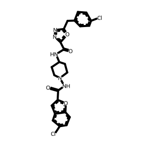 O=C(NN1CCC(NC(=O)c2nnc(Cc3ccc(Cl)cc3)o2)CC1)c1cc2cc(Cl)ccc2o1